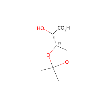 CC1(C)OC[C@@H](C(O)C(=O)O)O1